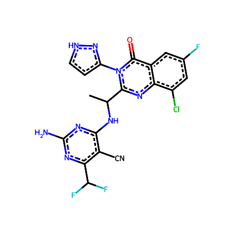 CC(Nc1nc(N)nc(C(F)F)c1C#N)c1nc2c(Cl)cc(F)cc2c(=O)n1-c1cc[nH]n1